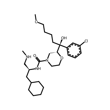 CNC[C@H](CC1CCCCC1)NC(=O)N1CCO[C@@H]([C@](O)(CCCCOC)c2cccc(Cl)c2)C1